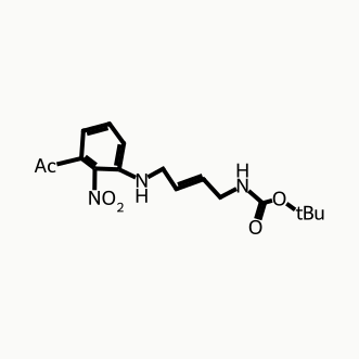 CC(=O)c1cccc(NC/C=C/CNC(=O)OC(C)(C)C)c1[N+](=O)[O-]